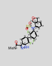 CNC(=O)c1n[nH]c2c(F)c(-c3c(F)ccc(N(c4cccc5c4COC5)[SH](=O)=O)c3F)ccc12